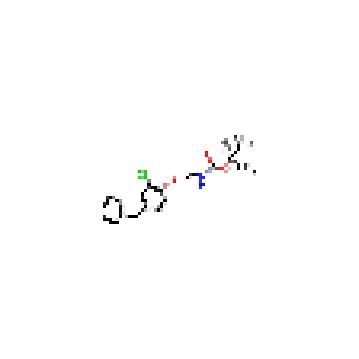 C=CC(C)(C)OC(=O)NCCOc1ccc(Cc2ccccc2)cc1Cl